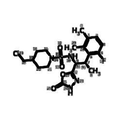 Cc1ccc(F)c([C@@H](C)[C@H](NS(=O)(=O)N2CCC(CCl)CC2)c2n[nH]c(=O)o2)c1C